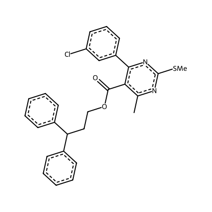 CSc1nc(C)c(C(=O)OCCC(c2ccccc2)c2ccccc2)c(-c2cccc(Cl)c2)n1